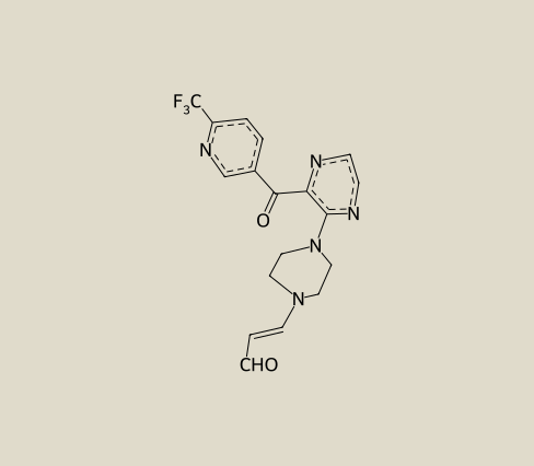 O=CC=CN1CCN(c2nccnc2C(=O)c2ccc(C(F)(F)F)nc2)CC1